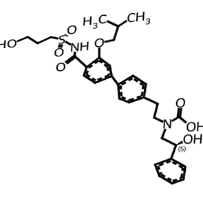 CC(C)COc1cc(-c2ccc(CCN(C[C@@H](O)c3ccccc3)C(=O)O)cc2)ccc1C(=O)NS(=O)(=O)CCCO